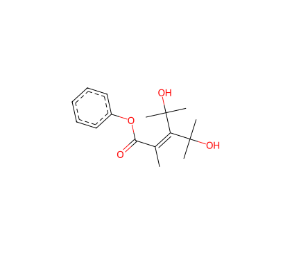 CC(C(=O)Oc1ccccc1)=C(C(C)(C)O)C(C)(C)O